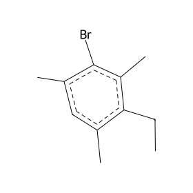 CCc1c(C)cc(C)c(Br)c1C